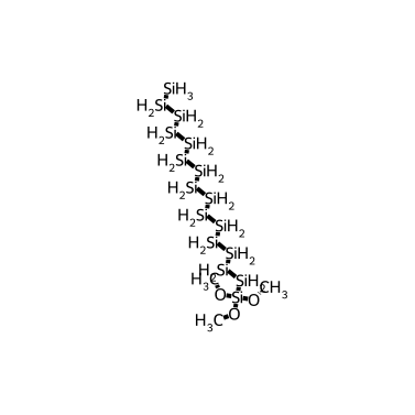 CO[Si](OC)(OC)[SiH2][SiH2][SiH2][SiH2][SiH2][SiH2][SiH2][SiH2][SiH2][SiH2][SiH2][SiH2][SiH2][SiH2][SiH3]